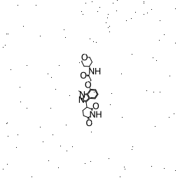 Cn1nc(C2CCC(=O)NC2=O)c2cccc(OCC(=O)NC3CCOCC3)c21